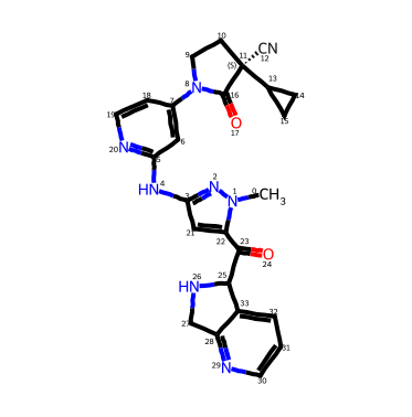 Cn1nc(Nc2cc(N3CC[C@@](C#N)(C4CC4)C3=O)ccn2)cc1C(=O)C1NCc2ncccc21